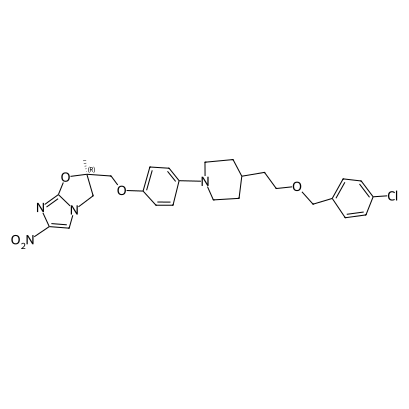 C[C@]1(COc2ccc(N3CCC(CCOCc4ccc(Cl)cc4)CC3)cc2)Cn2cc([N+](=O)[O-])nc2O1